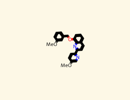 COc1ccc(-c2ccc3cccc(OCc4cccc(OC)c4)c3n2)nc1